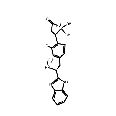 O=C(O)N[C@@H](Cc1ccc(C2CC(=O)NS2(O)O)c(F)c1)c1nc2ccccc2[nH]1